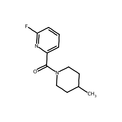 CC1CCN(C(=O)c2cccc(F)n2)CC1